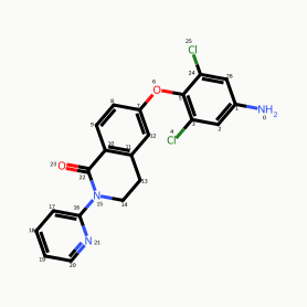 Nc1cc(Cl)c(Oc2ccc3c(c2)CCN(c2ccccn2)C3=O)c(Cl)c1